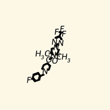 C[C@@H]1CN(c2ncc(C(F)(F)F)cn2)C[C@H](C)N1C(=O)OC1CCN(Cc2ccc(F)cc2)CC1